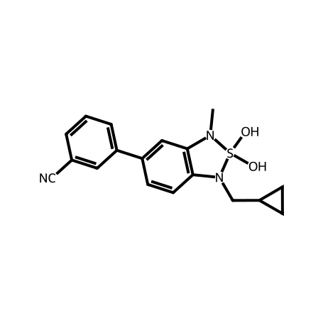 CN1c2cc(-c3cccc(C#N)c3)ccc2N(CC2CC2)S1(O)O